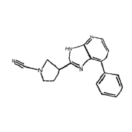 N#CN1CCC(c2nc3c(-c4ccccc4)ccnc3[nH]2)C1